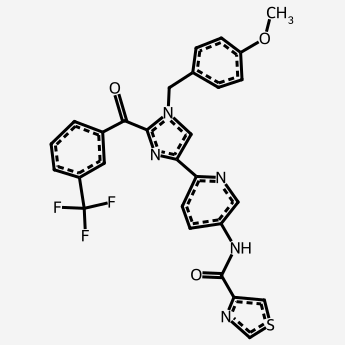 COc1ccc(Cn2cc(-c3ccc(NC(=O)c4cscn4)cn3)nc2C(=O)c2cccc(C(F)(F)F)c2)cc1